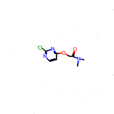 CN(C)C(=O)COc1ccnc(Cl)n1